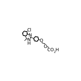 CC1NC(c2ccc(OCCOCC(=O)O)cc2)=Nc2c(Cl)cccc21